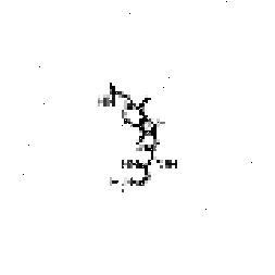 C=C1c2[nH]c3nc([C@@H](O)C(=N)/C=C\N)sc3c2C=NN1CC(C)=N